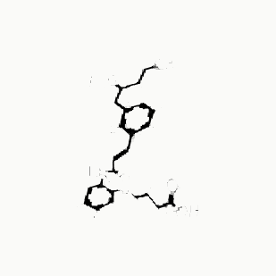 CCCC(C)Cc1cccc(C=CC(=O)Nc2ccccc2OCCCC(=O)O)c1